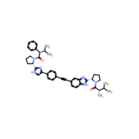 CC(C)[C@H](C)C(=O)N1CCC[C@H]1c1nc2cc(C#Cc3ccc(-c4c[nH]c([C@@H]5CCCN5C(=O)[C@@H](c5ccccc5)C(C)C)n4)cc3)ccc2[nH]1